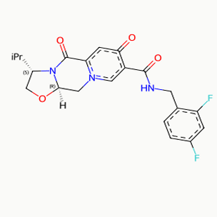 CC(C)[C@H]1CO[C@@H]2Cn3cc(C(=O)NCc4ccc(F)cc4F)c(=O)cc3C(=O)N12